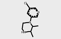 CC1NCCN(c2cncc(Cl)c2)C1C